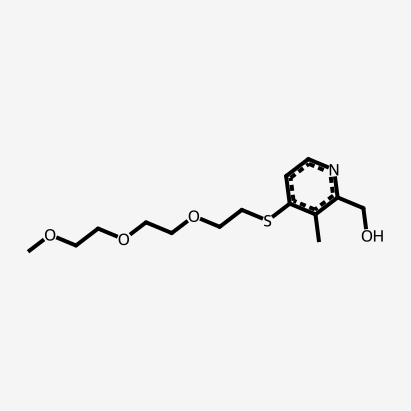 COCCOCCOCCSc1ccnc(CO)c1C